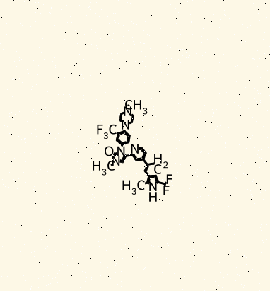 C=C/C(=C\c1cc(C(F)F)[nH]c1C)c1ccnc(-c2cn(C)c(=O)n2-c2ccc(N3CCN(C)CC3)c(C(F)(F)F)c2)c1